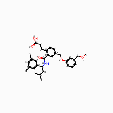 COCc1cccc(OCc2ccc(CCC(=O)O)c(C(=O)NC(CC(C)C)c3cc(C)cc(C)c3)c2)c1